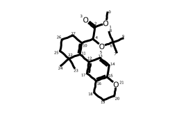 COC(=O)C(OC(C)(C)C)C1=C(c2ccc3c(c2)CCCO3)C(C)(C)CCC1